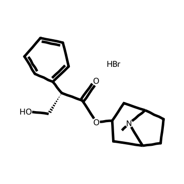 Br.CN1C2CCC1CC(OC(=O)[C@H](CO)c1ccccc1)C2